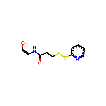 O=C(CCSSc1ccccn1)N/C=C\O